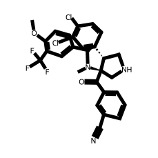 COc1ccc(C(=O)N(C)[C@]2(C(=O)c3cccc(C#N)c3)CNC[C@H]2c2ccc(Cl)c(Cl)c2)cc1C(F)(F)F